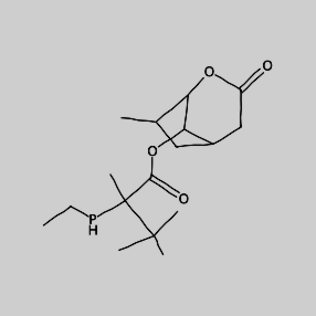 CCPC(C)(C(=O)OC1C2CC(=O)OC1C(C)C2)C(C)(C)C